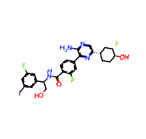 Nc1ncc([C@H]2CC[C@H](O)[C@@H](F)C2)nc1-c1ccc(C(=O)NC(CO)c2cc(F)cc(I)c2)c(F)c1